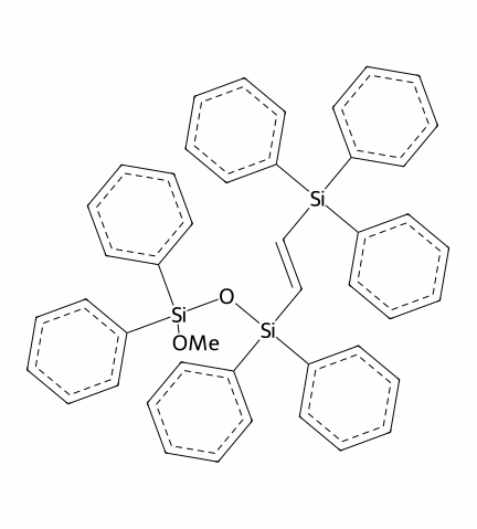 CO[Si](O[Si](C=C[Si](c1ccccc1)(c1ccccc1)c1ccccc1)(c1ccccc1)c1ccccc1)(c1ccccc1)c1ccccc1